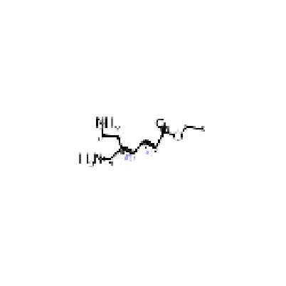 CCOC(=O)/C=C/C=C(/CN)CCN